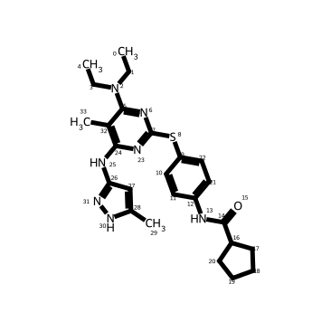 CCN(CC)c1nc(Sc2ccc(NC(=O)C3CCCC3)cc2)nc(Nc2cc(C)[nH]n2)c1C